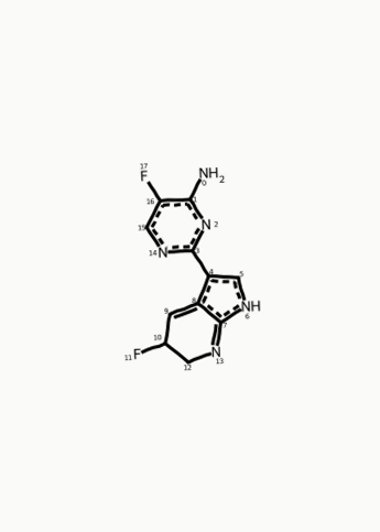 Nc1nc(-c2c[nH]c3c2=CC(F)CN=3)ncc1F